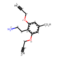 C#CCOc1cc(C(=O)O)cc(OCC#C)c1CCN